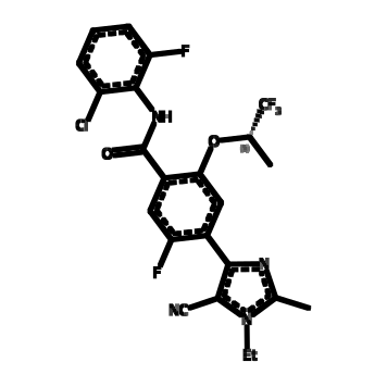 CCn1c(C)nc(-c2cc(O[C@@H](C)C(F)(F)F)c(C(=O)Nc3c(F)cccc3Cl)cc2F)c1C#N